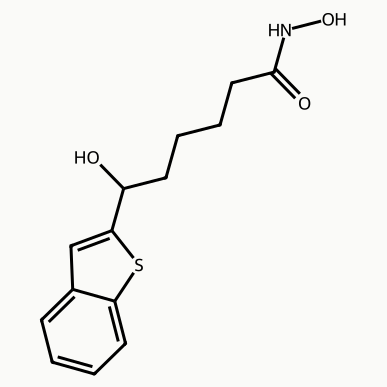 O=C(CCCCC(O)c1cc2ccccc2s1)NO